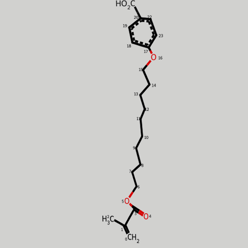 C=C(C)C(=O)OCCCCCCCCCCOc1ccc(C(=O)O)cc1